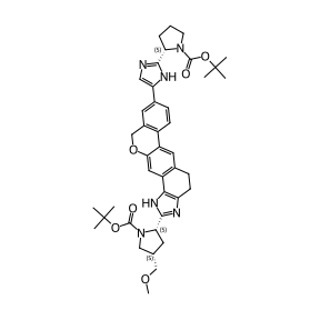 COC[C@H]1C[C@@H](c2nc3c([nH]2)-c2cc4c(cc2CC3)-c2ccc(-c3cnc([C@@H]5CCCN5C(=O)OC(C)(C)C)[nH]3)cc2CO4)N(C(=O)OC(C)(C)C)C1